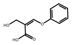 O=C(O)C(=COc1ccccc1)CO